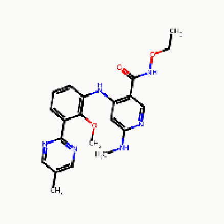 CCONC(=O)c1cnc(NC)cc1Nc1cccc(-c2ncc(C)cn2)c1OC